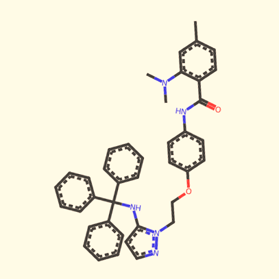 Cc1ccc(C(=O)Nc2ccc(OCCn3nccc3NC(c3ccccc3)(c3ccccc3)c3ccccc3)cc2)c(N(C)C)c1